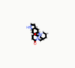 O=c1cccc2n1CC1CCC[N+]2(c2ccc3[nH]ccc3c2)C1